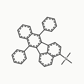 C[Si](C)(C)c1ccc2c3c(cccc13)-c1c-2c(-c2ccccc2)c2ccccc2c1-c1ccccc1